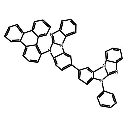 c1ccc(-n2c3ccc(-c4ccc5c(c4)n4c6ccccc6nc4n5-c4cccc5c6ccccc6c6ccccc6c45)cc3n3c4ccccc4nc23)cc1